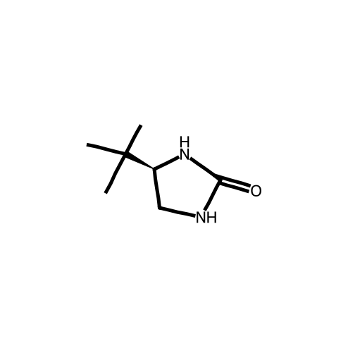 CC(C)(C)[C@@H]1CNC(=O)N1